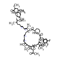 CC[C@H]1C[C@H](C)[C@@]2(NC1=O)O[C@@H](C[C@H](O)[C@@H](C)CC/C=C/C=C(\C)[C@@H]1C/C=C/C=C/[C@H](O)[C@H](C)[C@@H](O)[C@@H](CCC(C)=O)C(=O)N[C@@H](C(C)C)C(=O)N[C@@H](Cc3cc(O)c(F)c(F)c3)C(=O)N3CCCC(N3)C(=O)O1)[C@H](C)C=C2C